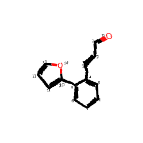 O=CC=Cc1ccccc1-c1ccco1